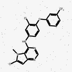 Cn1c(Cl)cc2ncnc(Nc3ccc(Oc4cccc(C(F)(F)F)c4)c(Cl)c3)c21